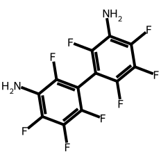 Nc1c(F)c(F)c(F)c(-c2c(F)c(N)c(F)c(F)c2F)c1F